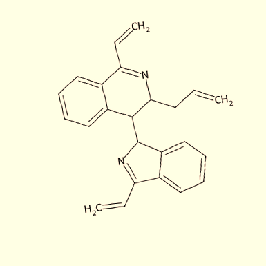 C=CCC1N=C(C=C)c2ccccc2C1C1N=C(C=C)c2ccccc21